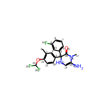 Cc1cc(C2(c3cccc(F)c3)NC=C(N)N(C)C2=O)ccc1OC(F)F